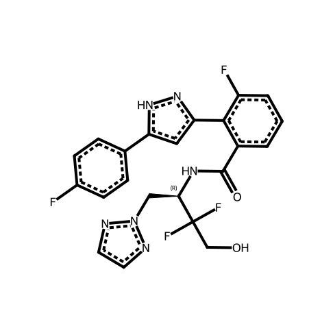 O=C(N[C@H](Cn1nccn1)C(F)(F)CO)c1cccc(F)c1-c1cc(-c2ccc(F)cc2)[nH]n1